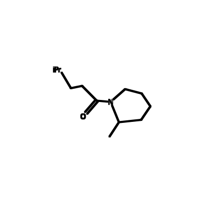 CC(C)CCC(=O)N1CCCCC1C